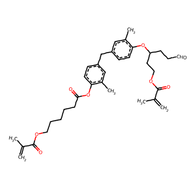 C=C(C)C(=O)OCCCCCC(=O)Oc1ccc(Cc2ccc(OC(CCC=O)CCOC(=O)C(=C)C)c(C)c2)cc1C